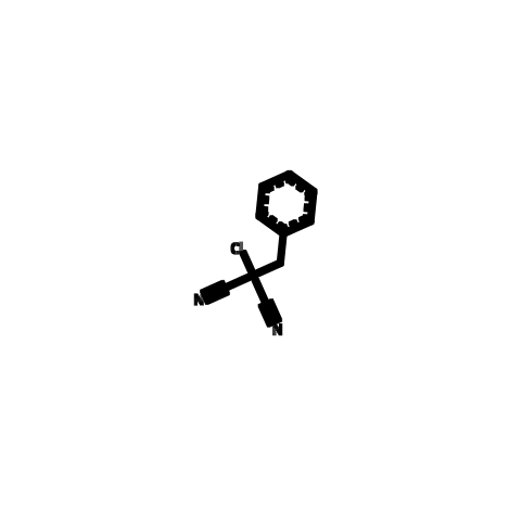 N#CC(Cl)(C#N)Cc1ccccc1